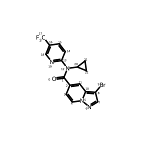 O=C(c1ccn2ncc(Br)c2c1)N(c1ccc(C(F)(F)F)cn1)C1CC1